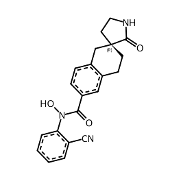 N#Cc1ccccc1N(O)C(=O)c1ccc2c(c1)CC[C@]1(CCNC1=O)C2